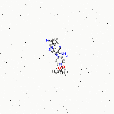 CC(C)(C)OC(=O)N1CCCC(n2nc(-c3cnn(Cc4ccccc4C#N)c3)c(C#N)c2N)CCC1